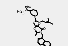 CCCCN(C(=O)O)C1CCCN(c2nc3nc(C)n(Cc4cccc5ccccc45)c(=O)c3n2CC=C(C)C)C1